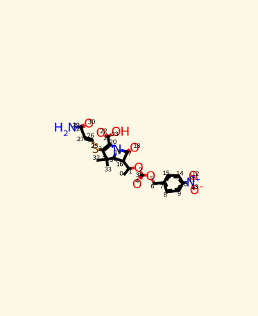 CC(OC(=O)OCc1ccc([N+](=O)[O-])cc1)C1C(=O)N2C(C(=O)O)=C(SC=CC(N)=O)C(C)(C)C12